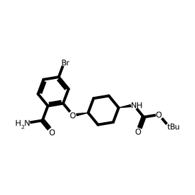 CC(C)(C)OC(=O)N[C@H]1CC[C@@H](Oc2cc(Br)ccc2C(N)=O)CC1